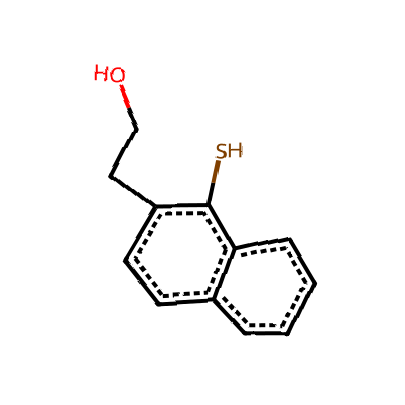 OCCc1ccc2ccccc2c1S